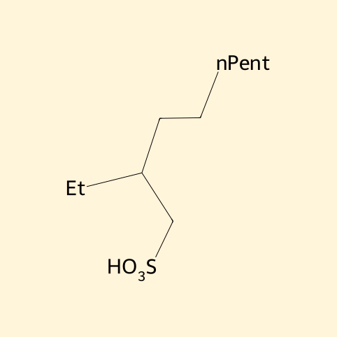 CCCCCCCC(CC)CS(=O)(=O)O